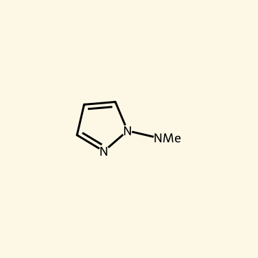 CNn1cccn1